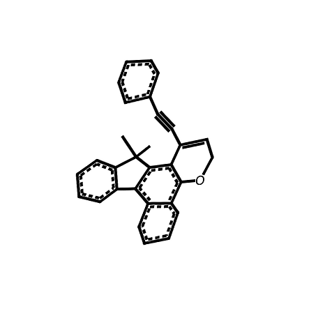 CC1(C)c2ccccc2-c2c1c1c(c3ccccc23)OCC=C1C#Cc1ccccc1